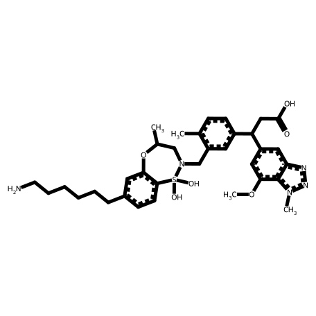 COc1cc(C(CC(=O)O)c2ccc(C)c(CN3CC(C)Oc4cc(CCCCCCN)ccc4S3(O)O)c2)cc2nnn(C)c12